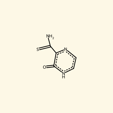 NC(=S)c1ncc[nH]c1=O